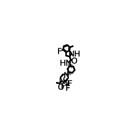 CC(=O)N1CCN([C@H]2CCC[C@@H](NC(=O)C3Cc4c(F)ccc(C)c4N3)C2)C[C@@H]1C(F)(F)F